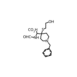 O=CNC(C(=O)O)C1(SCCO)CCN(Cc2ccccc2)CC1